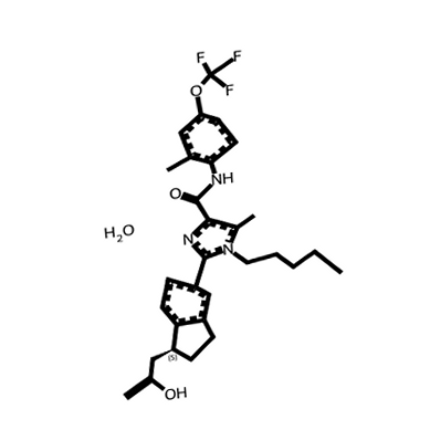 C=C(O)C[C@@H]1CCc2cc(-c3nc(C(=O)Nc4ccc(OC(F)(F)F)cc4C)c(C)n3CCCCC)ccc21.O